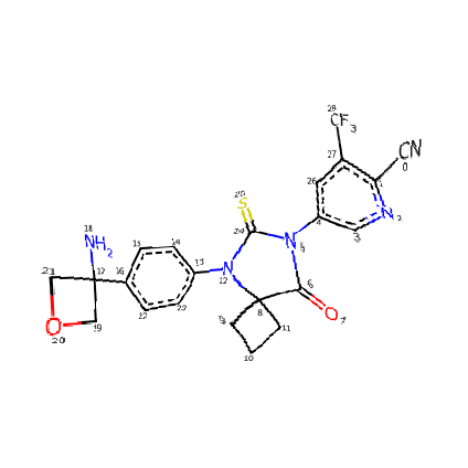 N#Cc1ncc(N2C(=O)C3(CCC3)N(c3ccc(C4(N)COC4)cc3)C2=S)cc1C(F)(F)F